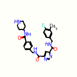 Cc1cc(CNC(=O)c2cc(C(=O)NCc3ccc(C(=O)NC4CCNCC4)cc3)ncn2)ccc1F